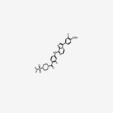 COc1ccc(-c2cnc3c(Nc4ccc(C(=O)N5CCN(S(=O)(=O)N(C)C)CC5)c(C)c4)nccn23)cc1F